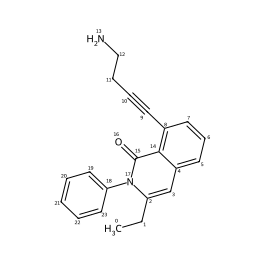 CCc1cc2cccc(C#CCCN)c2c(=O)n1-c1ccccc1